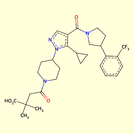 CC(C)(CC(=O)N1CCC(n2ncc(C(=O)N3CCC(c4ccccc4C(F)(F)F)C3)c2C2CC2)CC1)C(=O)O